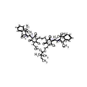 CCC(C)(C)C(=O)OCCN1C(=O)/C(=C\C=C2\N(C)c3ccccc3C2(C)C)C(=O)N(CCCN2C(=O)/C(=C/C=C3/N(C)c4ccccc4C3(C)C)C(=O)N(CCO)C2=O)C1=O